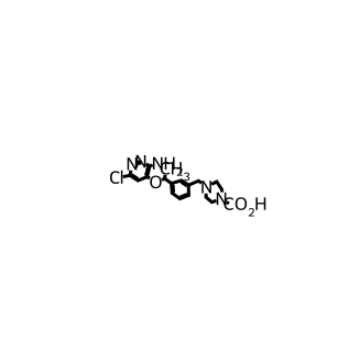 CC(Oc1cc(Cl)nnc1N)c1cccc(CN2CCN(C(=O)O)CC2)c1